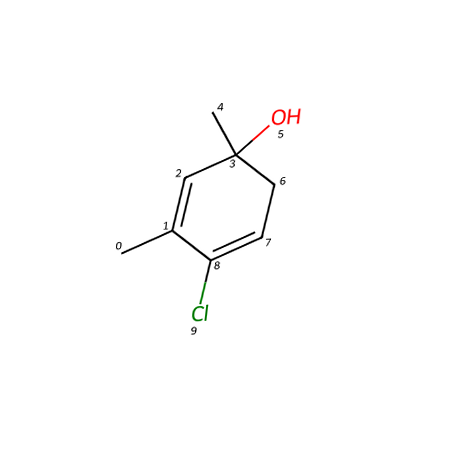 CC1=CC(C)(O)CC=C1Cl